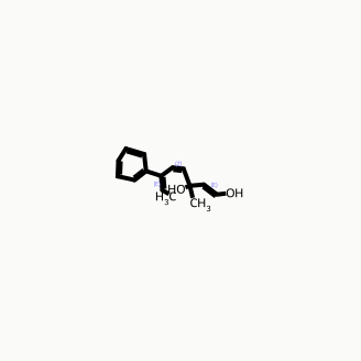 C/C=C(\C=C/C(C)(O)/C=C/O)c1ccccc1